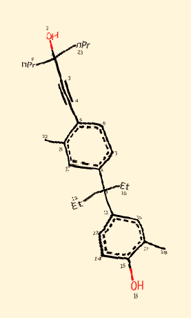 CCCC(O)(C#Cc1ccc(C(CC)(CC)c2ccc(O)c(C)c2)cc1C)CCC